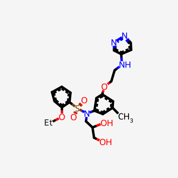 CCOc1ccccc1S(=O)(=O)N(CC(O)CO)c1cc(C)cc(OCCNc2ccnnc2)c1